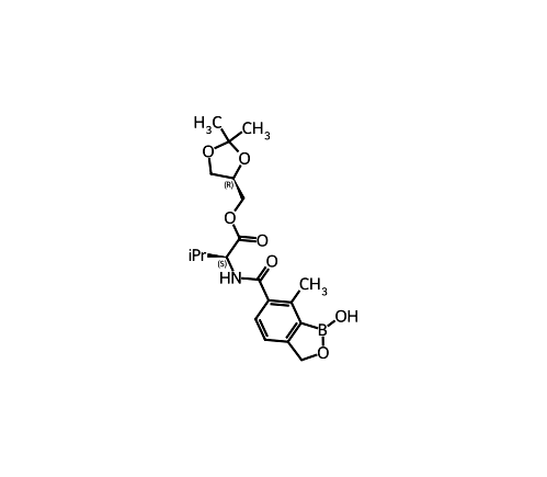 Cc1c(C(=O)N[C@H](C(=O)OC[C@H]2COC(C)(C)O2)C(C)C)ccc2c1B(O)OC2